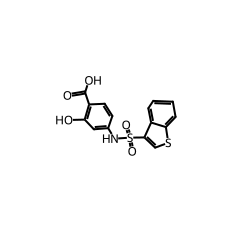 O=C(O)c1ccc(NS(=O)(=O)c2csc3ccccc23)cc1O